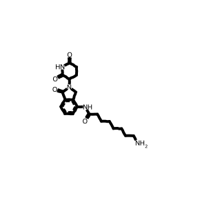 NCCCCCCCC(=O)Nc1cccc2c1CN(C1CCC(=O)NC1=O)C2=O